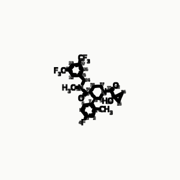 Cc1cc(F)ccc1[C@@H]1CN(C(=O)C2(O)CC2)CC[C@H]1C(=O)N(C)Cc1cc(C(F)(F)F)cc(C(F)(F)F)c1